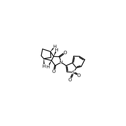 O=C1[C@@H]2[C@@H]3CC[C@@H](C3)[C@@H]2C(=O)N1C1=CS(=O)(=O)c2ccccc21